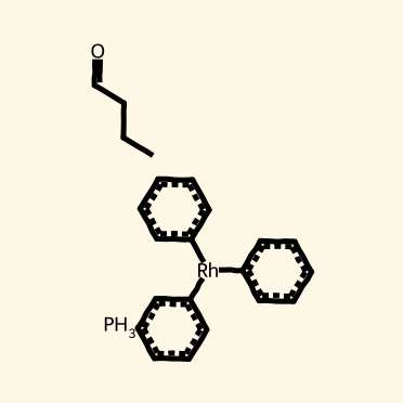 CCCC=O.P.c1cc[c]([Rh]([c]2ccccc2)[c]2ccccc2)cc1